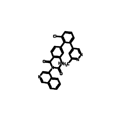 Cc1cc(-c2cccc(Cl)c2-c2ccc3c(=O)n(-c4cncc5ccccc45)c(=O)[nH]c3c2)cnn1